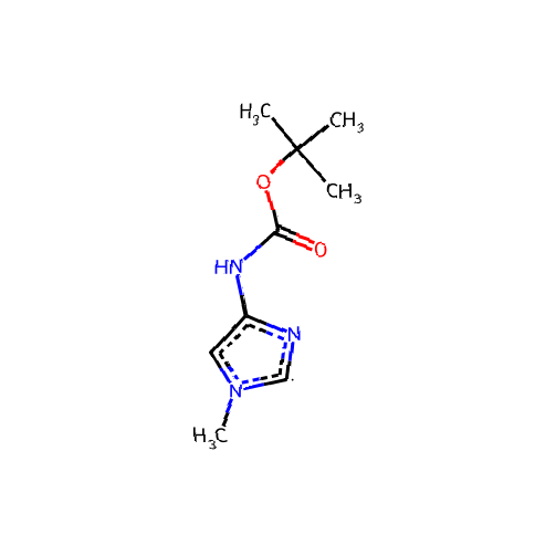 Cn1[c]nc(NC(=O)OC(C)(C)C)c1